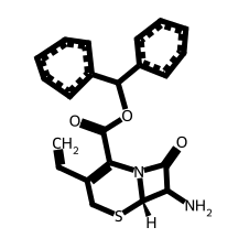 C=CC1=C(C(=O)OC(c2ccccc2)c2ccccc2)N2C(=O)C(N)[C@@H]2SC1